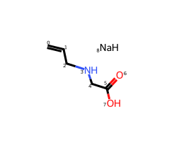 C=CCNCC(=O)O.[NaH]